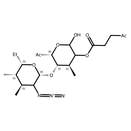 CC[C@@H]1O[C@H](O[C@H]2[C@H](C)C(OC(=O)CCC(C)=O)C(O)O[C@H]2C(C)=O)C(N=[N+]=[N-])[C@@H](C)[C@@H]1C